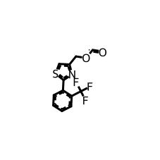 O=[C]OCc1csc(-c2ccccc2C(F)(F)F)n1